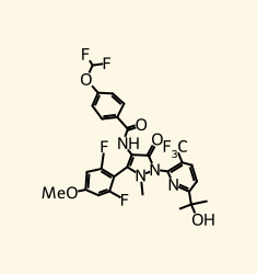 COc1cc(F)c(-c2c(NC(=O)c3ccc(OC(F)F)cc3)c(=O)n(-c3nc(C(C)(C)O)ccc3C(F)(F)F)n2C)c(F)c1